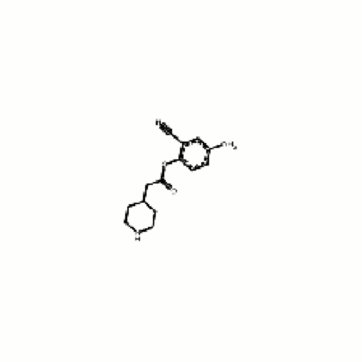 N#Cc1cc(N)ccc1OC(=O)CC1CCNCC1